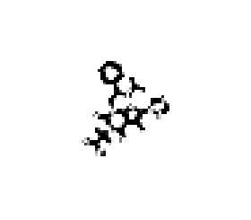 Cc1c(-n2cncn2)sc2c1c(=O)n(C(C)(C)C(=O)O)c(=O)n2CC(OC(C)C)c1ccccc1